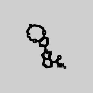 NC(=O)c1cccc2cn(-c3ccc4c(c3)OCCCSCCCO4)nc12